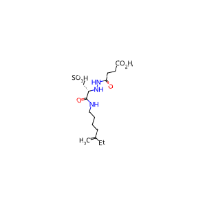 C=C(CC)CCCCNC(=O)[C@H](CS(=O)(=O)O)NNC(=O)CCC(=O)O